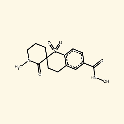 CN1CCCC2(CCc3cc(C(=O)NO)ccc3S2(=O)=O)C1=O